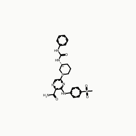 CS(=O)(=O)c1ccc(Nc2nc(N3CCC[C@@H](NC(=O)Nc4ccccc4)C3)cnc2C(N)=O)cc1